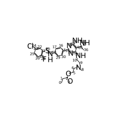 CCC(=O)OCCN(C)CCNc1nc(-c2ccc(NSc3cc(Cl)ccc3F)cc2)nc(N)c1C(C)=N